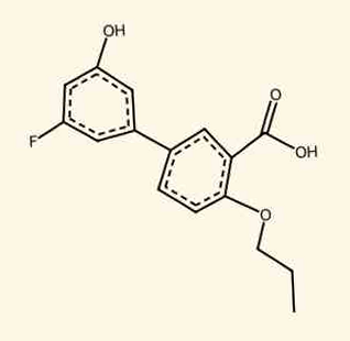 CCCOc1ccc(-c2cc(O)cc(F)c2)cc1C(=O)O